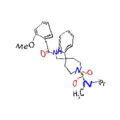 COc1ccccc1C(=O)NCC1(c2ccccc2)CCN(S(=O)(=O)N(C)C(C)C)CC1